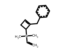 C=C[Si](C)(C)C1CC=C1Cc1ccccc1